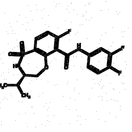 CC(C)[C@@H]1COc2c(ccc(F)c2C(=O)Nc2ccc(F)c(F)c2)S(=O)(=O)N1